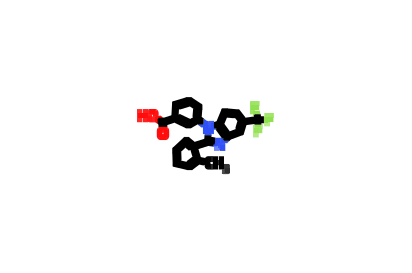 Cc1ccccc1-c1nc2cc(C(F)(F)F)ccc2n1-c1cccc(C(=O)O)c1